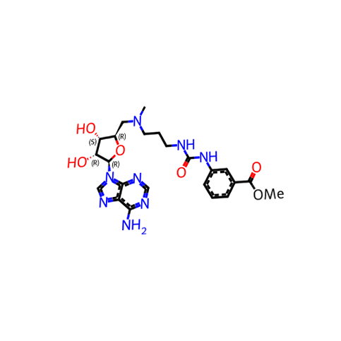 COC(=O)c1cccc(NC(=O)NCCCN(C)C[C@H]2O[C@@H](n3cnc4c(N)ncnc43)[C@H](O)[C@@H]2O)c1